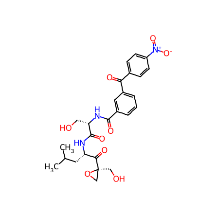 CC(C)C[C@H](NC(=O)[C@H](CO)NC(=O)c1cccc(C(=O)c2ccc([N+](=O)[O-])cc2)c1)C(=O)[C@@]1(CO)CO1